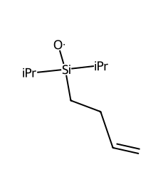 C=CCC[Si]([O])(C(C)C)C(C)C